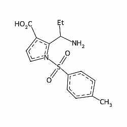 CCC(N)c1c(C(=O)O)ccn1S(=O)(=O)c1ccc(C)cc1